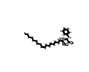 CCCCCCCC/C=C\CCCCCCCC(=O)N[C@H](Cc1ccccc1)C(=O)O